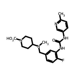 Cc1ccc(NC(=O)Nc2cc(CN(C)C3CCN(C(=O)O)CC3)ccc2F)cn1